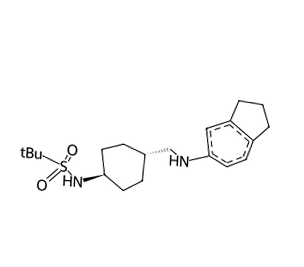 CC(C)(C)S(=O)(=O)N[C@H]1CC[C@H](CNc2ccc3c(c2)CCC3)CC1